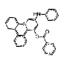 O=C(OC1=CC(Nc2ccccc2)=CN2C3=CC=CCC3=c3ccccc3=C12)c1ccccc1